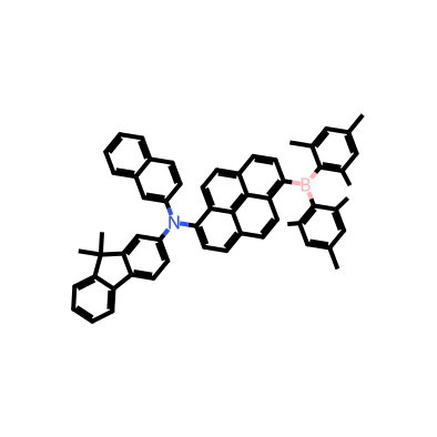 Cc1cc(C)c(B(c2c(C)cc(C)cc2C)c2ccc3ccc4c(N(c5ccc6c(c5)C(C)(C)c5ccccc5-6)c5ccc6ccccc6c5)ccc5ccc2c3c54)c(C)c1